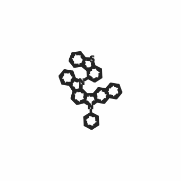 c1ccc(-n2c3cc4ccccc4cc3c3c2ccc2c4ccccc4n(-c4cccc5sc6ccccc6c45)c23)cc1